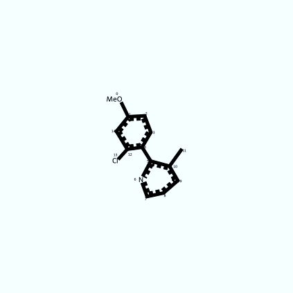 COc1ccc(-c2ncccc2C)c(Cl)c1